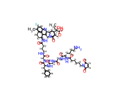 CC[C@@]1(O)C(=O)OCc2c1cc1n(c2=O)Cc2c-1nc1cc(F)c(C)c3c1c2[C@@H](NC(=O)CCCNC(=O)CNC(=O)C(Cc1ccccc1)NC(=O)CNC(=O)CNC(=O)[C@H](CCCCN)NC(=O)CCCCCN1C(=O)C=CC1=O)CC3